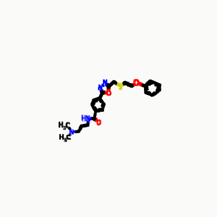 CN(C)CCCNC(=O)c1ccc(-c2nnc(CSCCOc3ccccc3)o2)cc1